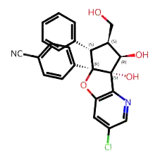 N#Cc1ccc([C@@]23Oc4cc(Cl)cnc4[C@]2(O)[C@H](O)[C@H](CO)[C@H]3c2ccccc2)cc1